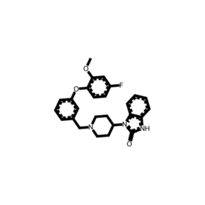 COc1cc(F)ccc1Oc1cccc(CN2CCC(n3c(=O)[nH]c4ccccc43)CC2)c1